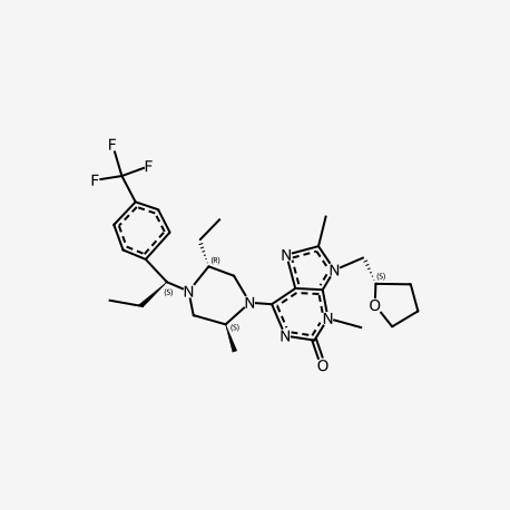 CC[C@@H]1CN(c2nc(=O)n(C)c3c2nc(C)n3C[C@@H]2CCCO2)[C@@H](C)CN1[C@@H](CC)c1ccc(C(F)(F)F)cc1